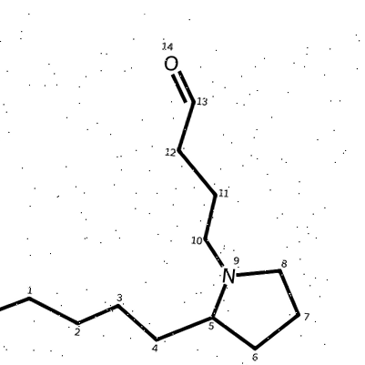 CCCCCC1CCCN1CCCC=O